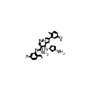 CCc1ccc(F)cc1/N=C(\N)c1cnn2cc(-c3cc(OC)ccc3C)cc2c1N[C@@H]1CC[C@H](N)C1